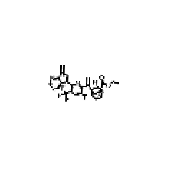 CCOC(=O)[C@H]1C2CCC(CC2)C1Nc1nc(-c2c[nH]c3ncncc23)c(C(F)(F)F)cc1F